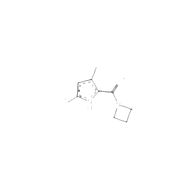 Cc1cc(C(C)(C)C)[nH]c1C(=O)N1CCC1